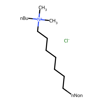 CCCCCCCCCCCCCCCC[N+](C)(C)CCCC.[Cl-]